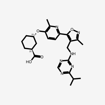 Cc1nc(-c2onc(C)c2CNc2ncnc(C(C)C)n2)ccc1O[C@H]1CCC[C@H](C(=O)O)C1